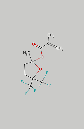 C=C(C)C(=O)OC1(C)CCC(C(F)(F)F)(C(F)(F)F)O1